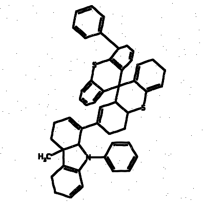 CC12CCC=C(C3=CC4C(CC3)SC3=CCCC=C3C43C4=C(Sc5ccccc53)C(c3ccccc3)CC=C4)C1N(c1ccccc1)C1=C2CCC=C1